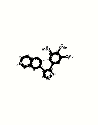 COc1cc(-c2nscc2-c2ccc3ccncc3c2)cc(OC)c1OC